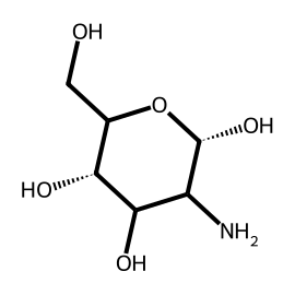 NC1C(O)[C@H](O)C(CO)O[C@@H]1O